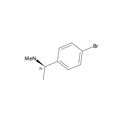 CN[C@H](C)c1ccc(Br)cc1